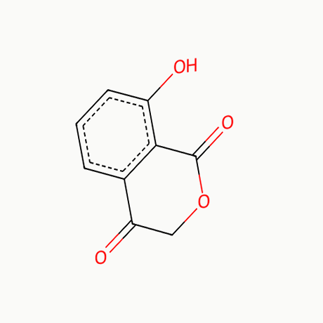 O=C1COC(=O)c2c(O)cccc21